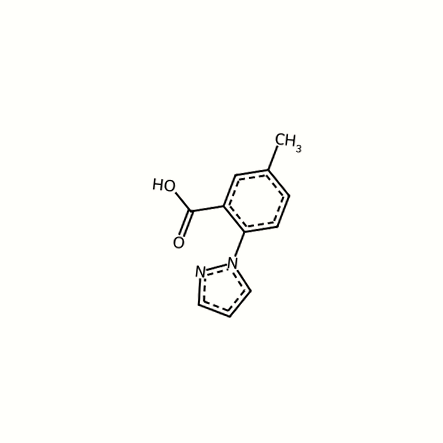 Cc1ccc(-n2cccn2)c(C(=O)O)c1